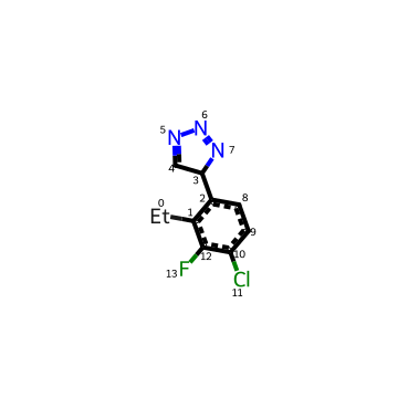 CCc1c(C2C=NN=N2)ccc(Cl)c1F